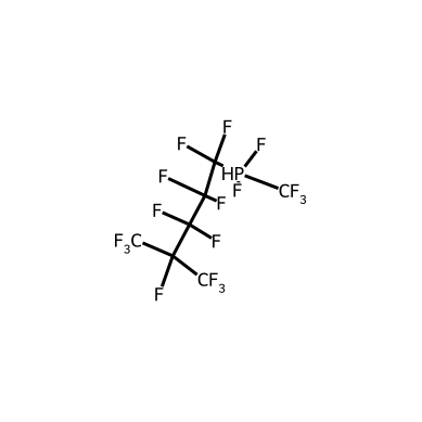 FC(F)(F)C(F)(C(F)(F)F)C(F)(F)C(F)(F)C(F)(F)[PH](F)(F)C(F)(F)F